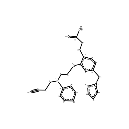 N#CCCN(CCOc1cc(Cn2cccn2)ccc1CCC(=O)O)c1ccccc1